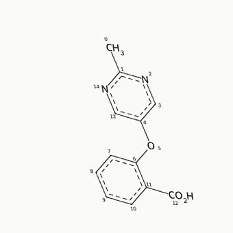 Cc1ncc(Oc2ccccc2C(=O)O)cn1